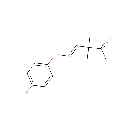 CC(=O)C(C)(C)C=COc1ccc(Cl)cc1